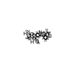 CCNC(=O)C(NC(=O)C(C)(COC)c1ccc2nc(CC(c3ccccc3Cl)C3(C)CC3)[nH]c2c1)C(C)(C)C